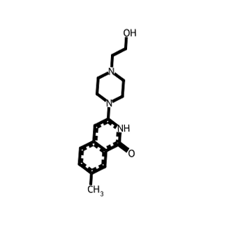 Cc1ccc2cc(N3CCN(CCO)CC3)[nH]c(=O)c2c1